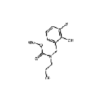 CC(C)(C)OC(=O)N(CCO)Cc1cccc(Br)c1O